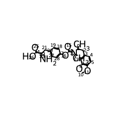 CC(Cc1ccc2c(c1)OCO2)N(C)C(=O)Oc1ccc(C[C@H](N)C(=O)O)cc1